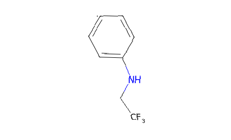 FC(F)(F)CNc1cc[c]cc1